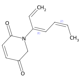 C=C/C(=C\C=C/C)N1CC(=O)C=CC1=O